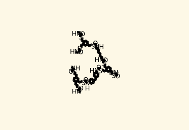 CNC(=O)SCCC1CCC(CCSC(=O)NC)C(CCSC(=O)NC2CCC(CC3CCC(NC(=O)SCCC4CC(CCSC(=O)NC)CCC4CCSC(=O)NCCCCCCNC(=O)SCCC4CCC(CCSC(=O)NC)C(CCSC(=O)NC)C4)CC3)CC2)C1